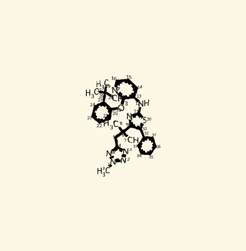 Cn1nnc(CC(C)(C)c2nc(Nc3cccnc3Oc3ccccc3C(C)(C)C)sc2-c2ccccc2)n1